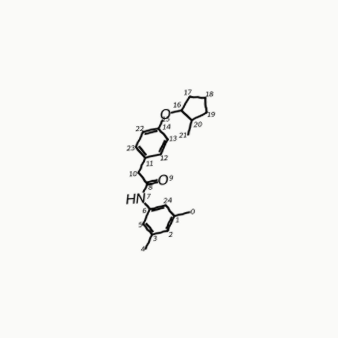 Cc1cc(C)cc(NC(=O)Cc2ccc(OC3CCCC3C)cc2)c1